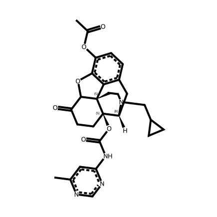 CC(=O)Oc1ccc2c3c1OC1C(=O)CC[C@@]4(OC(=O)Nc5cc(C)ncn5)[C@@H](C2)N(CC2CC2)CC[C@]314